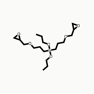 CCCO[Si](CCCOCC1CO1)(CCCOCC1CO1)OCCC